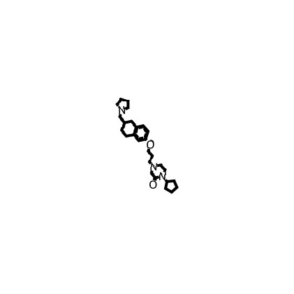 O=C1CN(CCCOc2ccc3c(c2)CCC(CN2CCCC2)C3)CCN1C1CCCC1